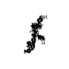 COc1ccc(CN2CCN(C3CC4(CCN(c5cc(Oc6cnc7[nH]ccc7c6)c(C(=O)NS(=O)(=O)c6cc([N+](=O)[O-])c(NCC7CCC(C)(O)CC7)c7occc67)cn5)CC4)C3)[C@H](c3ccccc3C(C)C)C2)cc1